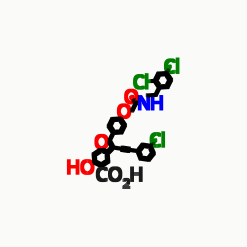 O=C(COc1ccc(-c2oc3cc(O)c(C(=O)O)cc3c2C#Cc2cccc(Cl)c2)cc1)NCCc1ccc(Cl)cc1Cl